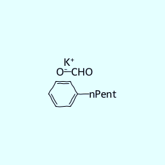 CCCCCc1ccccc1.O=C[O-].[K+]